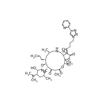 C=CC[C@H]1C[C@@H](C)CN[C@H](C)[C@H]2N(CCCCn3cc(-c4ccccn4)nn3)C(=O)O[C@]2(C)[C@@H](CC)OC(=O)[C@H](C)C(=O)[C@H](C)[C@H]1O[C@@H]1OC(C)CC(N(C)C)C1O